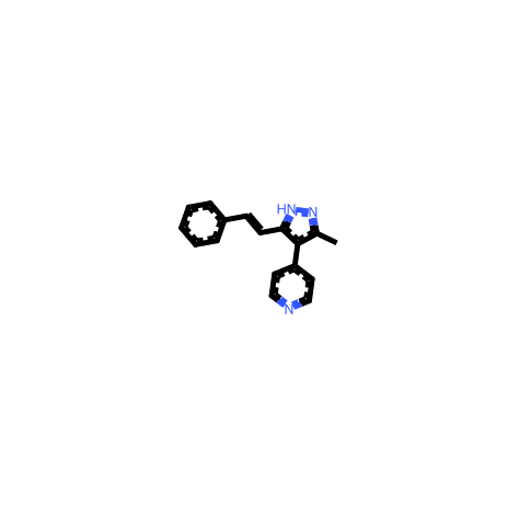 Cc1n[nH]c(C=Cc2ccccc2)c1-c1ccncc1